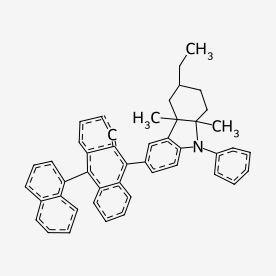 CCC1CCC2(C)N(c3ccccc3)c3ccc(-c4c5ccccc5c(-c5cccc6ccccc56)c5ccccc45)cc3C2(C)C1